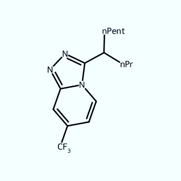 CCCCCC(CCC)c1nnc2cc(C(F)(F)F)ccn12